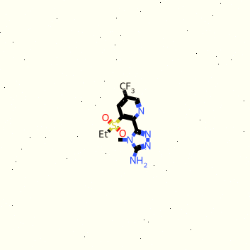 CCS(=O)(=O)c1cc(C(F)(F)F)cnc1-c1nnc(N)n1C